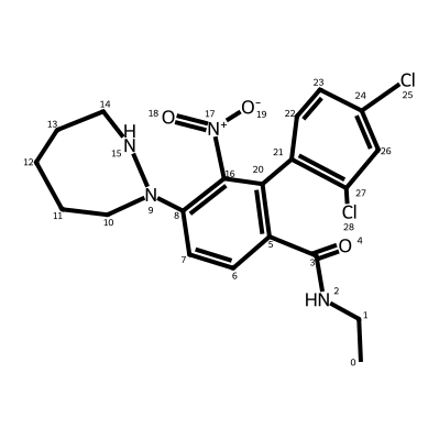 CCNC(=O)c1ccc(N2CCCCCN2)c([N+](=O)[O-])c1-c1ccc(Cl)cc1Cl